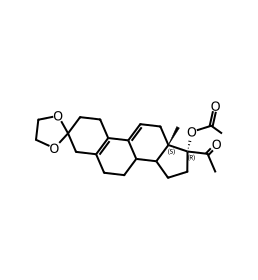 CC(=O)O[C@]1(C(C)=O)CCC2C3CCC4=C(CCC5(C4)OCCO5)C3=CC[C@@]21C